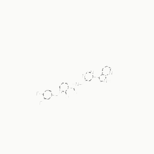 O=C(NCc1cc(-c2c[nH]c3ncccc23)ncn1)c1cccn(Cc2ccc(F)c(F)c2)c1=O